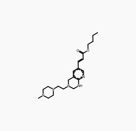 CCCCOC(=O)C=Cc1cnc2c(c1)CN(CCN1CCN(C)CC1)CN2